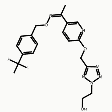 CC(=NOCc1ccc(C(C)(F)F)cc1)c1ccc(OCc2nnn(CCO)n2)nc1